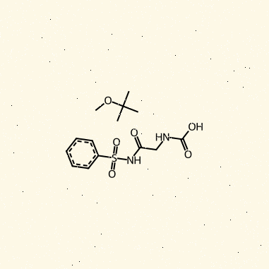 COC(C)(C)C.O=C(O)NCC(=O)NS(=O)(=O)c1ccccc1